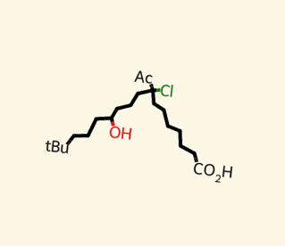 CC(=O)C(Cl)(CCCCCCC(=O)O)CCCC(O)CCCC(C)(C)C